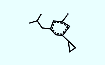 CC(C)Cc1cc(F)cc(C2CC2)c1